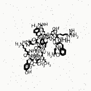 CSCC[C@H](NC(=O)[C@@H](NC(=O)[C@H](Cc1ccc(O)cc1)NC(=O)[C@@H](N)CCCCN)C(C)C)C(=O)NCC(=O)N[C@@H](Cc1c[nH]cn1)C(=O)N[C@@H](Cc1ccccc1)C(=O)N[C@@H](CCCNC(=N)N)C(=O)N[C@@H](Cc1c[nH]c2ccccc12)C(=O)N[C@@H](CC(=O)O)C(=O)N[C@@H](CCCNC(=N)N)C(=O)N[C@@H](Cc1ccccc1)C(=O)NCC(N)=O